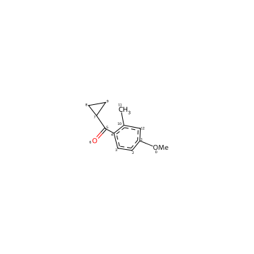 COc1ccc(C(=O)C2CC2)c(C)c1